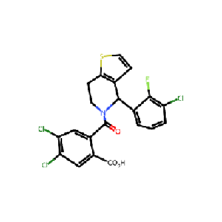 O=C(O)c1cc(Cl)c(Cl)cc1C(=O)N1CCc2sccc2C1c1cccc(Cl)c1F